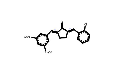 COc1cc(/C=C2\CC/C(=C\c3ccccc3Cl)C2=O)cc(OC)c1